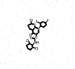 O=C(Nc1c(Cl)cccc1Cl)Oc1cn(-c2ccc(F)cc2F)c2nc(Cl)ccc2c1=O